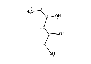 CCC(O)OC(=O)CS